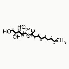 CCCCCCCCC(=O)O[C@@H](CO)CC[C@H](O)CO